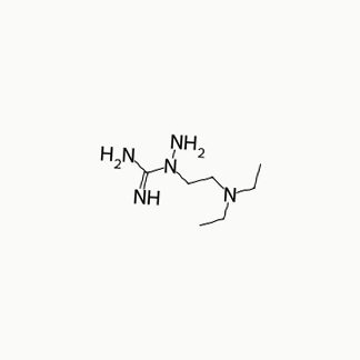 CCN(CC)CCN(N)C(=N)N